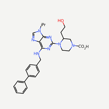 CC(C)n1cnc2c(NCc3ccc(-c4ccccc4)cc3)nc(N3CCN(C(=O)O)CC3CCO)nc21